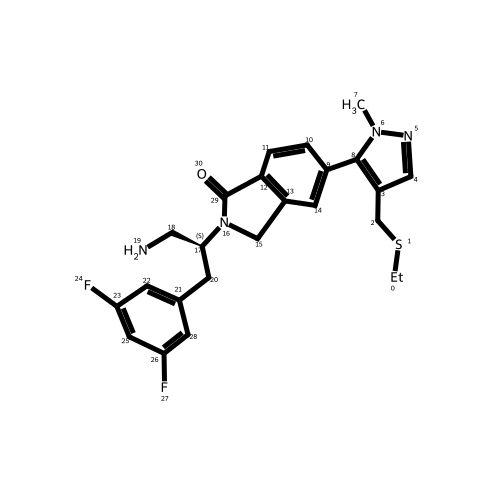 CCSCc1cnn(C)c1-c1ccc2c(c1)CN([C@H](CN)Cc1cc(F)cc(F)c1)C2=O